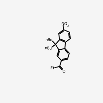 CCCCC1(CCCC)c2cc(C(=O)CC)ccc2-c2ccc([N+](=O)[O-])cc21